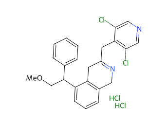 COCC(c1ccccc1)c1cccc2c1CC(Cc1c(Cl)cncc1Cl)=NC2.Cl.Cl